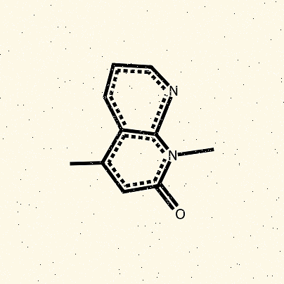 Cc1cc(=O)n(C)c2ncccc12